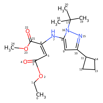 CCOC(=O)C=C(Nc1cc(C2CCC2)nn1C(C)(C)C)C(=O)OC